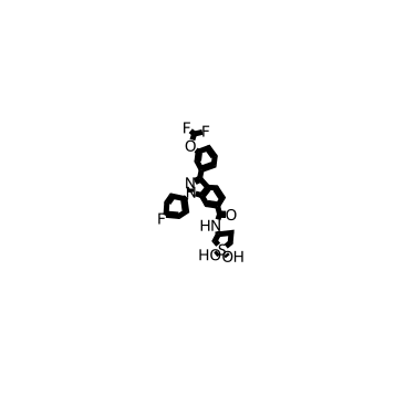 O=C(NC1CCS(O)(O)C1)c1ccc2c(-c3cccc(OC(F)F)c3)nn(-c3ccc(F)cc3)c2c1